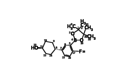 CC1(C)OB(c2cc([C@H]3CC[C@H](O)CC3)ccc2F)OC1(C)C